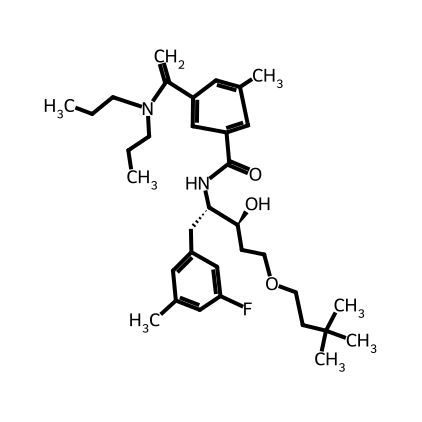 C=C(c1cc(C)cc(C(=O)N[C@@H](Cc2cc(C)cc(F)c2)[C@@H](O)CCOCCC(C)(C)C)c1)N(CCC)CCC